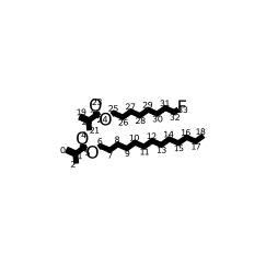 C=C(C)C(=O)OCCCCCCCCCCCCC.C=C(C)C(=O)OCCCCCCCCF